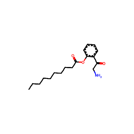 CCCCCCCCCC(=O)Oc1ccccc1C(=O)CN